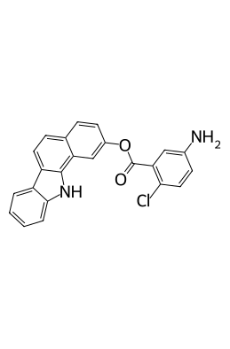 Nc1ccc(Cl)c(C(=O)Oc2ccc3ccc4c5ccccc5[nH]c4c3c2)c1